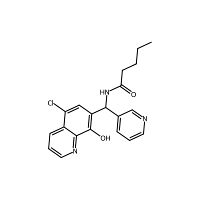 CCCCC(=O)NC(c1cccnc1)c1cc(Cl)c2cccnc2c1O